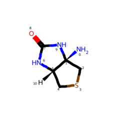 N[C@@]12CSC[C@@H]1NC(=O)N2